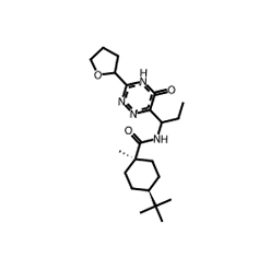 CCC(NC(=O)[C@]1(C)CC[C@H](C(C)(C)C)CC1)c1nnc(C2CCCO2)[nH]c1=O